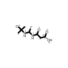 CC(C)(Cl)NC(I)NC(Cl)C[C@@H](O)Cl